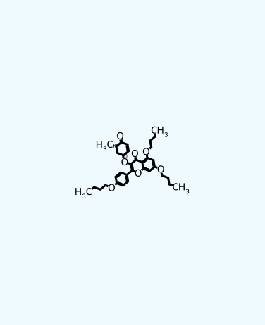 CCCCOc1ccc(-c2oc3cc(OCCCC)cc(OCCCC)c3c(=O)c2O[C@H]2C=CC(=O)[C@H](C)C2)cc1